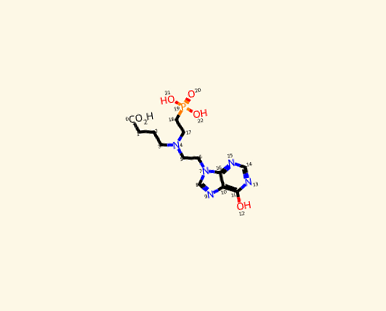 O=C(O)CCCN(CCn1cnc2c(O)ncnc21)CCP(=O)(O)O